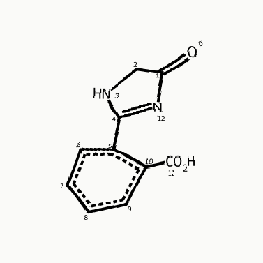 O=C1CNC(c2ccccc2C(=O)O)=N1